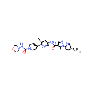 Cc1cc(NC(=O)c2cnn(-c3ccc(C(F)(F)F)cn3)c2C)cnc1C1=CCN(C(=O)NN2CCOCC2)CC1